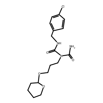 NC(=O)N(CCCOC1CCCCO1)C(=O)NCc1ccc(Cl)cc1